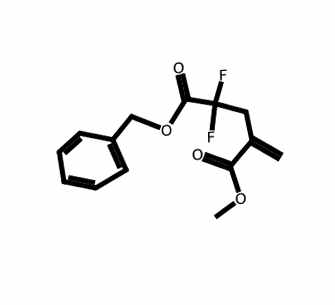 C=C(CC(F)(F)C(=O)OCc1ccccc1)C(=O)OC